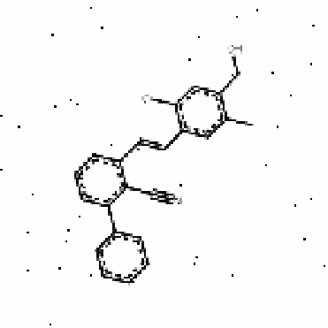 Cc1cc(/C=C/c2cccc(-c3ccccc3)c2C#N)c(Cl)cc1CO